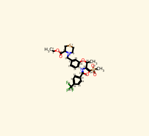 CCOC(=O)C1CSCCN1Cc1cccc(OC(C)c2nc(-c3ccc(C(F)(F)F)cc3)oc2S(C)(=O)=O)c1